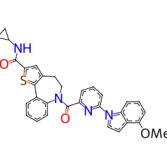 COc1cccc2c1ccn2-c1cccc(C(=O)N2CCc3cc(C(=O)NC4CC4)sc3-c3ccccc32)n1